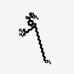 CCCCCCCCCCCCCCCCCc1nc2cc(C(=O)N(C)C)ccc2n1CCCN(C)C